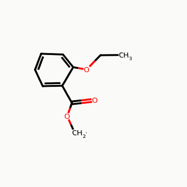 [CH2]OC(=O)c1ccccc1OCC